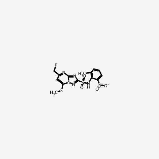 CSc1cc(CF)nc2nc(S(=O)(=O)Nc3c(C)cccc3[N+](=O)[O-])nn12